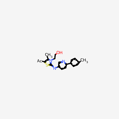 CC(=O)c1sc(=Nc2ccc(-c3ccc(C)cc3)nc2)n(CCO)c1C